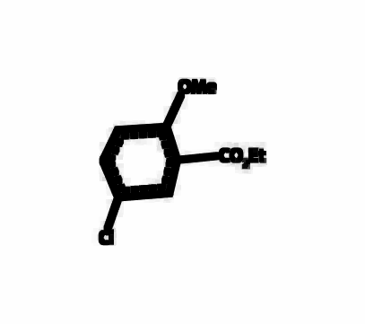 CCOC(=O)c1cc(Cl)ccc1OC